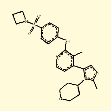 Cc1c(-c2cnc(C)n2C2CCOCC2)ccnc1Nc1ccc(S(=O)(=O)N2CCC2)cc1